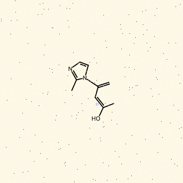 C=C(/C=C(\C)O)n1ccnc1C